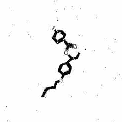 CCCCOc1ccc(C(CC)OC(=O)c2ccc(F)cc2)cc1